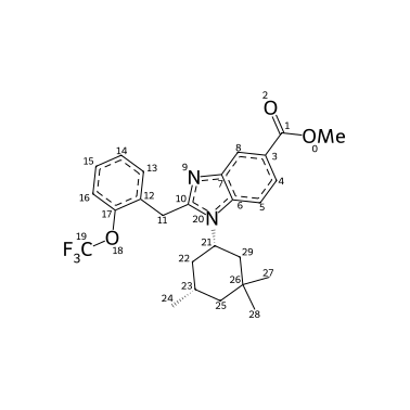 COC(=O)c1ccc2c(c1)nc(Cc1ccccc1OC(F)(F)F)n2[C@H]1C[C@@H](C)CC(C)(C)C1